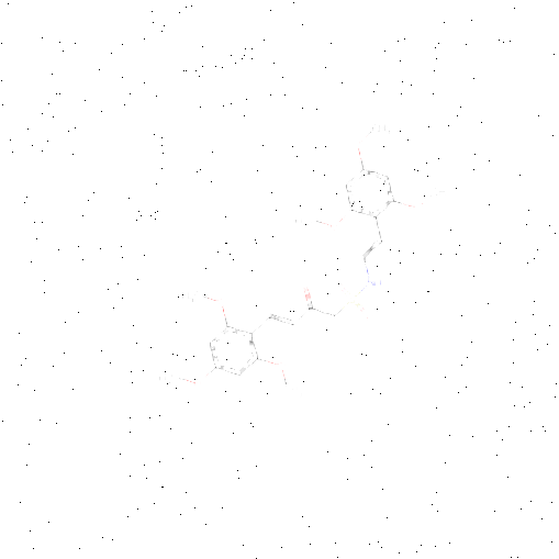 COc1cc(OC)c(C=CNS(=O)(=O)CC(=O)C=Cc2c(OC)cc(OC)cc2OC)c(OC)c1